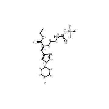 CCOC(=O)/C(=C/c1cn([C@H]2CC[C@@H](C)CC2)cn1)CCCNC(=O)OC(C)(C)C